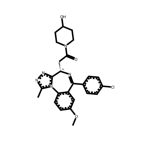 COc1ccc2c(c1)C(c1ccc(Cl)cc1)=N[C@@H](CC(=O)N1CCC(O)CC1)c1nnc(C)n1-2